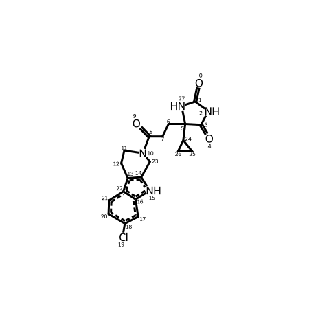 O=C1NC(=O)C(CCC(=O)N2CCc3c([nH]c4cc(Cl)ccc34)C2)(C2CC2)N1